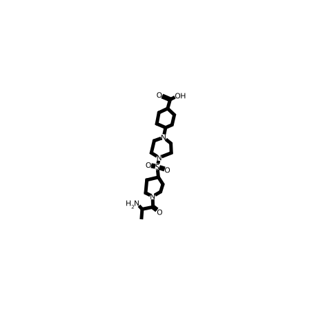 CC(N)C(=O)N1CCC(S(=O)(=O)N2CCN(C3CCC(C(=O)O)CC3)CC2)CC1